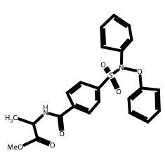 COC(=O)C(C)NC(=O)c1ccc(S(=O)(=O)N(Oc2ccccc2)c2ccccc2)cc1